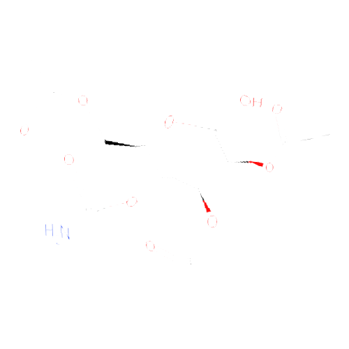 CC(=O)OC[C@H]1O[C@H](O)[C@@H](OC(C)=O)[C@@H](OC(C)=O)[C@@H]1OC(N)=O